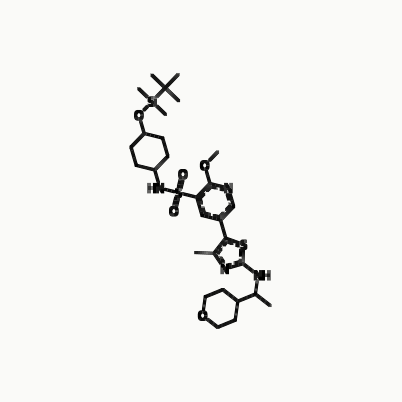 COc1ncc(-c2sc(NC(C)C3CCOCC3)nc2C)cc1S(=O)(=O)NC1CCC(O[Si](C)(C)C(C)(C)C)CC1